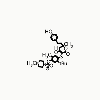 Cc1cc(SC2=C(O)CC(C)(CCc3ccc(O)cc3)OC2=O)c(C(C)(C)C)cc1OS(=O)(=O)N1CCN(C)CC1